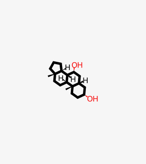 C[C@@]12CCC[C@H]1[C@@H]1[C@H](O)C[C@@H]3C[C@H](O)CC[C@]3(C)[C@H]1CC2